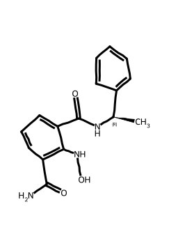 C[C@@H](NC(=O)c1cccc(C(N)=O)c1NO)c1ccccc1